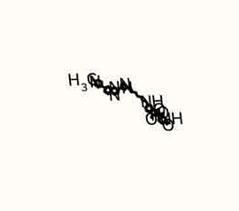 CN1CCC(c2ccc3ncc(-c4cnn(CCCCCCNc5ccc6c(c5)C(=O)N(C5CCC(=O)NC5=O)C6=O)c4)nc3c2)CC1